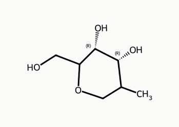 CC1COC(CO)[C@H](O)[C@@H]1O